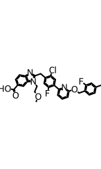 COCCn1c(Cc2cc(F)c(-c3cccc(OCc4ccc(C)cc4F)n3)cc2Cl)nc2ccc(C(=O)O)cc21